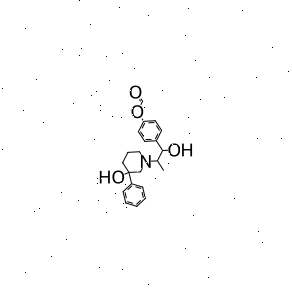 CC(C(O)c1ccc(OC=O)cc1)N1CCCC(O)(c2ccccc2)C1